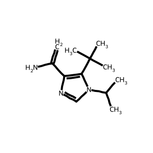 C=C(N)c1ncn(C(C)C)c1C(C)(C)C